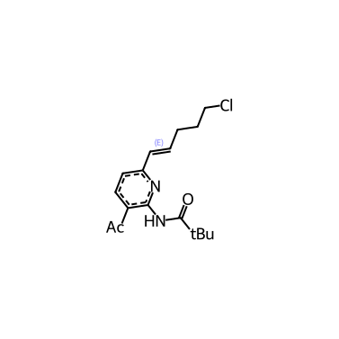 CC(=O)c1ccc(/C=C/CCCCl)nc1NC(=O)C(C)(C)C